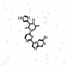 CC1CN(c2ccnc(-c3cnc4cnc(Br)cn34)n2)C(C)C(c2c[nH]cn2)N1